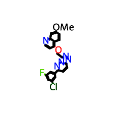 COc1ccc2c(OCc3nnc4ccc(-c5cc(F)cc(Cl)c5)nn34)ccnc2c1